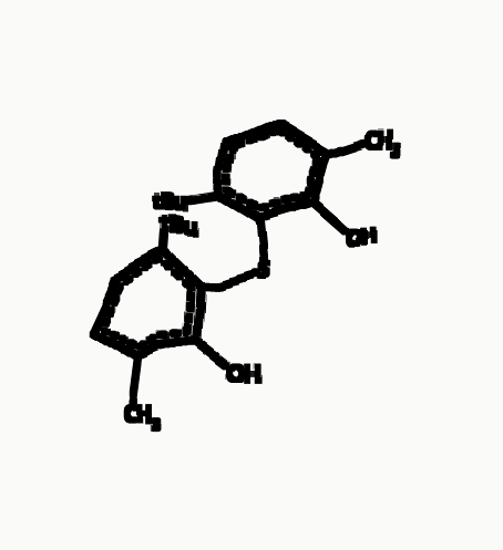 Cc1ccc(C(C)(C)C)c(Sc2c(C(C)(C)C)ccc(C)c2O)c1O